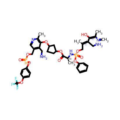 C=N/C(C)=C(O)\C(CN)=C(/C)COP(=O)(N[C@@H](C)C(=O)OC1CCC(Oc2c(C)ncc(CO[PH](=O)Oc3ccc(OC(F)(F)F)cc3)c2CN)C1)Oc1ccccc1